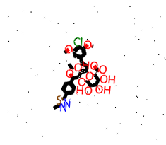 CCOC(c1ccc(-c2nnc(C)s2)cc1)C(O[C@H]1O[C@H](C(=O)O)[C@@H](O)[C@H](O)[C@H]1O)c1ccc(-c2cc(OC)c(Cl)c(OC)c2)o1